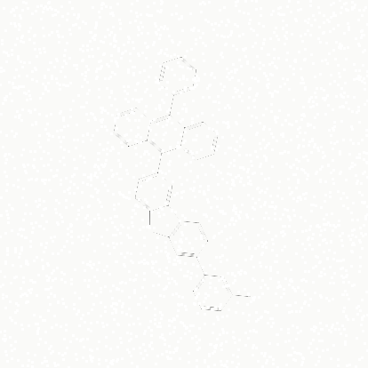 Fc1cccc(-c2ccc3c(c2)oc2ccc(-c4c5ccccc5c(-c5ccccc5)c5ccccc45)cc23)c1